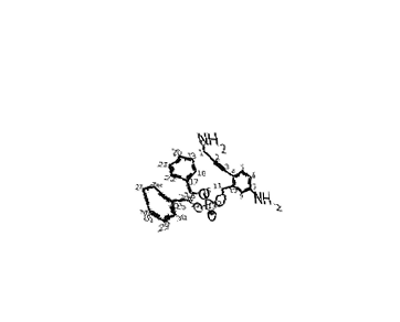 NCC#Cc1ccc(N)cc1COP(=O)(OCc1ccccc1)OCc1ccccc1